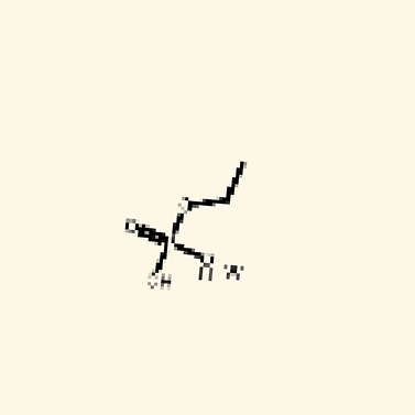 CCOP(=O)(O)O.[W]